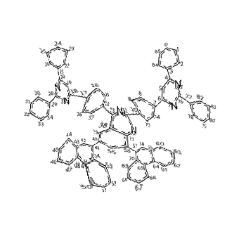 c1ccc(-c2cc(-c3ccc(-c4nc(-c5ccc(-c6cc(-c7ccccc7)nc(-c7ccccc7)n6)cc5)c5cc(-c6cc7ccccc7c7ccccc67)cc(-c6cc7ccccc7c7ccccc67)c5n4)cc3)nc(-c3ccccc3)n2)cc1